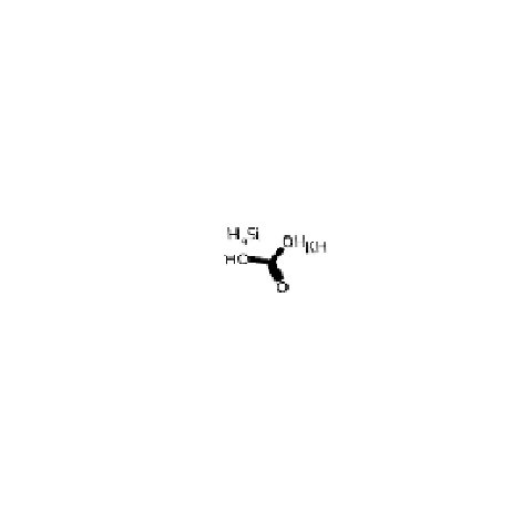 O=C(O)O.[KH].[SiH4]